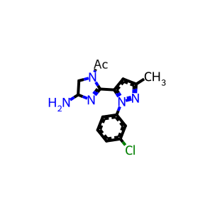 CC(=O)N1CC(N)N=C1c1cc(C)nn1-c1cccc(Cl)c1